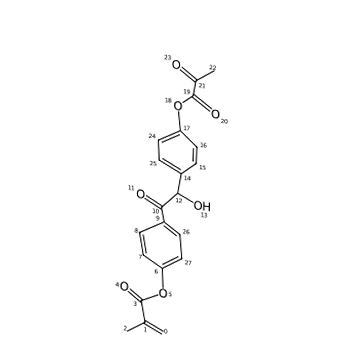 C=C(C)C(=O)Oc1ccc(C(=O)C(O)c2ccc(OC(=O)C(C)=O)cc2)cc1